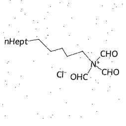 CCCCCCCCCCCC[N+](C=O)(C=O)C=O.[Cl-]